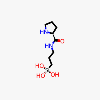 O=C(NCCC[Si](O)(O)O)[C@@H]1CCCN1